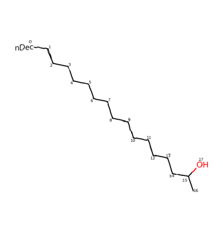 CCCCCCCCCCCCCCCCCCCCCCCCC(C)O